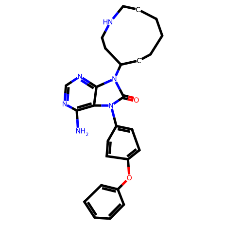 Nc1ncnc2c1n(-c1ccc(Oc3ccccc3)cc1)c(=O)n2C1CCCCCCNCC1